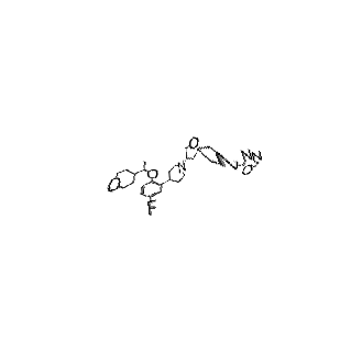 C[C@@H](Oc1ccc(F)cc1C1CCN([C@@H]2COC3(C2)CN(c2nnco2)C3)CC1)C1CCOCC1